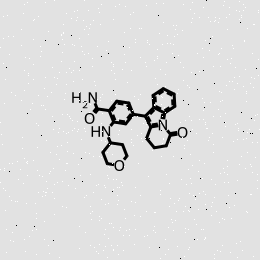 NC(=O)c1ccc(-c2c3n(c4ccccc24)C(=O)CCC3)cc1NC1CCOCC1